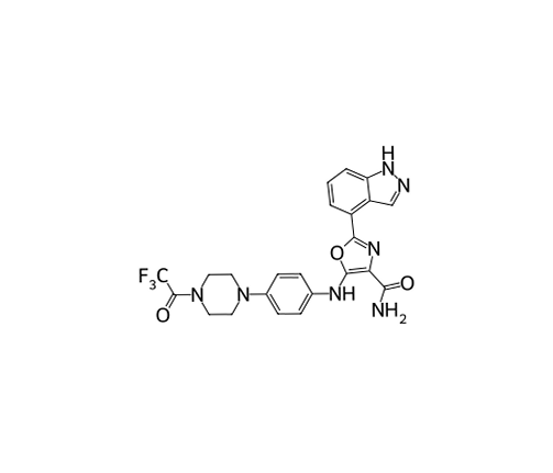 NC(=O)c1nc(-c2cccc3[nH]ncc23)oc1Nc1ccc(N2CCN(C(=O)C(F)(F)F)CC2)cc1